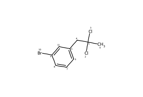 CC(Cl)(Cl)Cc1c[c]cc(Br)c1